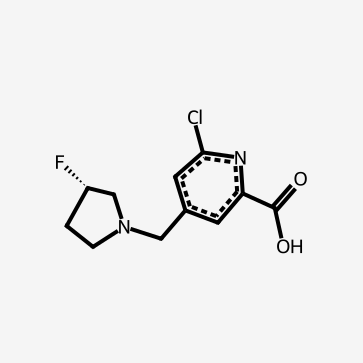 O=C(O)c1cc(CN2CC[C@H](F)C2)cc(Cl)n1